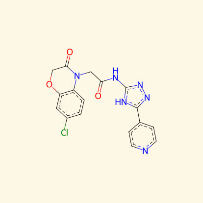 O=C(CN1C(=O)COc2cc(Cl)ccc21)Nc1nnc(-c2ccncc2)[nH]1